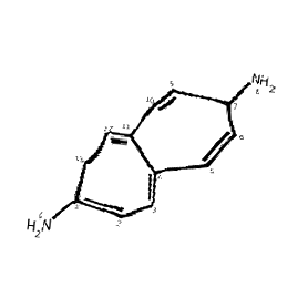 NC1=CC=C2C=CC(N)C=CC2=CC1